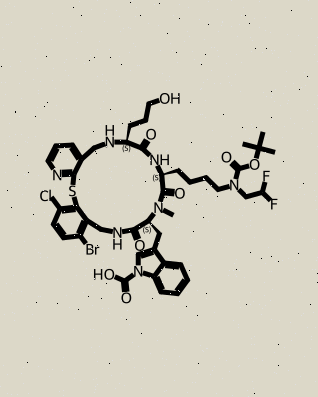 CN1C(=O)[C@H](CCCCN(CC(F)F)C(=O)OC(C)(C)C)NC(=O)[C@H](CCCO)NCc2cccnc2Sc2c(Cl)ccc(Br)c2CNC(=O)[C@@H]1Cc1cn(C(=O)O)c2ccccc12